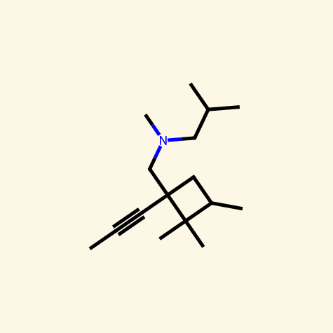 CC#CC1(CN(C)CC(C)C)CC(C)C1(C)C